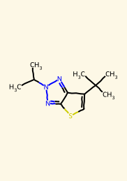 CC(C)n1nc2scc(C(C)(C)C)c2n1